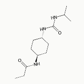 CCC(=O)N[C@H]1CC[C@H](NC(=O)NC(C)C)CC1